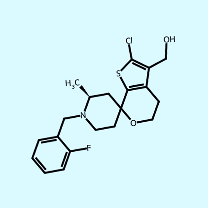 C[C@H]1CC2(CCN1Cc1ccccc1F)OCCc1c2sc(Cl)c1CO